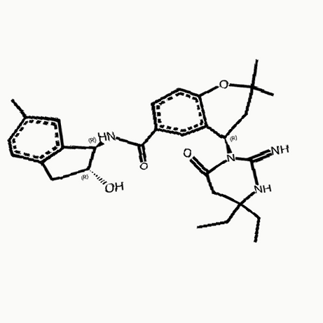 CCC1(CC)CC(=O)N([C@@H]2CC(C)(C)Oc3ccc(C(=O)N[C@@H]4c5cc(C)ccc5C[C@H]4O)cc32)C(=N)N1